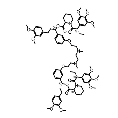 CC[C@H](C(=O)N1CCCCC1C(=O)O[C@H](CCc1ccc(OC)c(OC)c1)c1cccc(OCCN(C)CCN(C)CCOc2cccc([C@@H](CCc3ccc(OC)c(OC)c3)OC(=O)[C@@H]3CCCCN3C(=O)[C@@H](CC)c3cc(OC)c(OC)c(OC)c3)c2)c1)c1cc(OC)c(OC)c(OC)c1